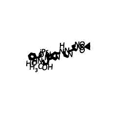 CC(C)n1nc(CC(C)(O)CNC(=O)c2ccccc2O)c2cnc(Nc3ccnc(-c4cnn(S(=O)(=O)C5CC5)c4)n3)cc21